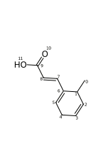 CC1C=CCC=C1/C=C/C(=O)O